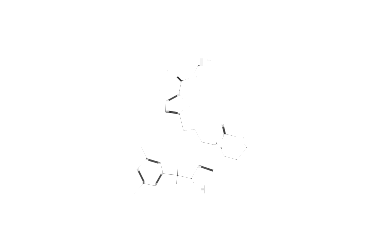 Cc1cc(C)cc(C(F)(F)[C@H](O)/C=C/[C@H]2CCOC(=O)N2CCCc2ccc(C(=O)OC(C)C)s2)c1